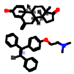 C=C1C[C@@H]2[C@H](CC[C@]3(C)C(=O)CC[C@@H]23)[C@@]2(C)C=CC(=O)C=C12.CC/C(=C(\c1ccccc1)c1ccc(OCCN(C)C)cc1)c1ccccc1